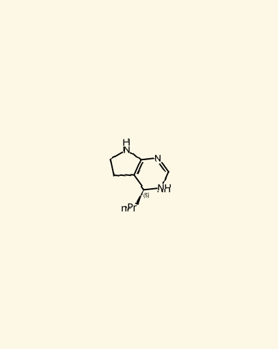 CCC[C@@H]1NC=NC2=C1CCN2